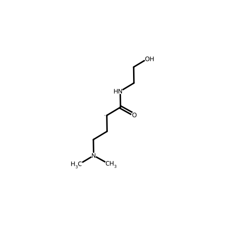 CN(C)CC[CH]C(=O)NCCO